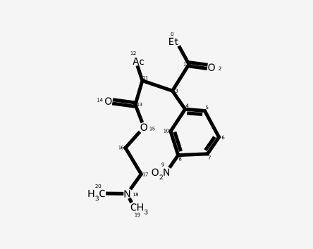 CCC(=O)C(c1cccc([N+](=O)[O-])c1)C(C(C)=O)C(=O)OCCN(C)C